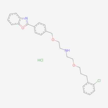 Cl.Clc1ccccc1CCCOCCNCCOCc1ccc(-c2nc3ccccc3o2)cc1